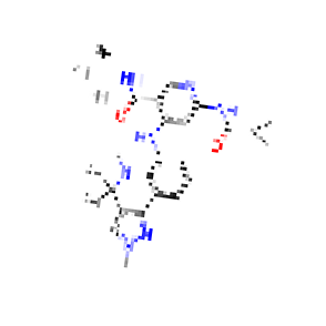 [2H]C([2H])([2H])NC(=O)c1cnc(NC(=O)C2CC2)cc1Nc1cccc2c1N(C)C([2H])([2H])c1cn(C)nc1-2